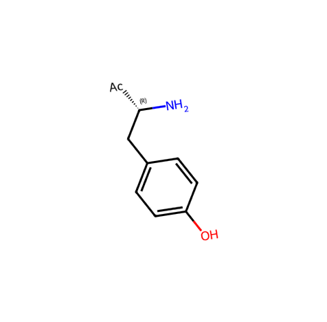 CC(=O)[C@H](N)Cc1ccc(O)cc1